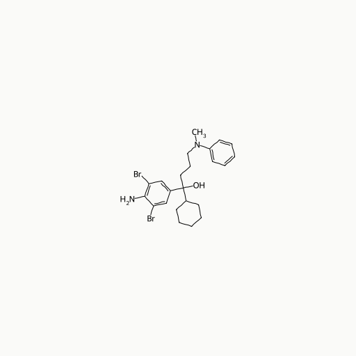 CN(CCCC(O)(c1cc(Br)c(N)c(Br)c1)C1CCCCC1)c1ccccc1